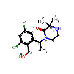 CC(c1cc(F)cc(Cl)c1CO)N1CCNC(C)(C)C1=O